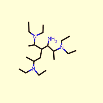 CCN(CC)C(C)CC(C(N)C(C)N(CC)CC)C(C)N(CC)CC